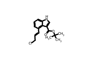 CC(C)(C)OC(=O)c1c[nH]c2cccc(/C=C/CCl)c12